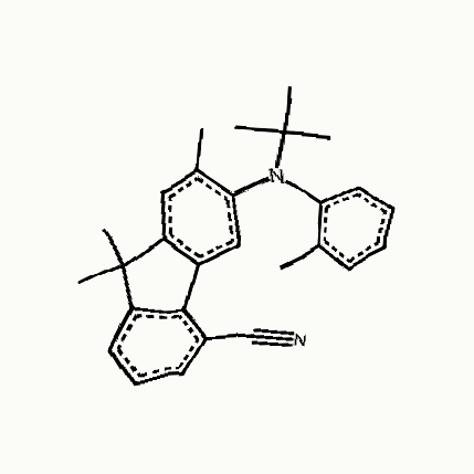 Cc1ccccc1N(c1cc2c(cc1C)C(C)(C)c1cccc(C#N)c1-2)C(C)(C)C